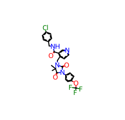 CC1(C)C(=O)N(c2ccc(OC(F)(F)F)cc2)C(=O)N1Cc1ccncc1C(=O)NCc1ccc(Cl)cc1